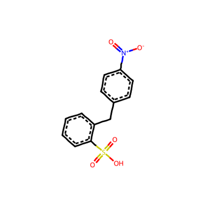 O=[N+]([O-])c1ccc(Cc2ccccc2S(=O)(=O)O)cc1